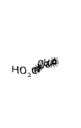 O=C(O)N1C[C@H](CCCSCc2ccccc2)[C@@H](O)C1